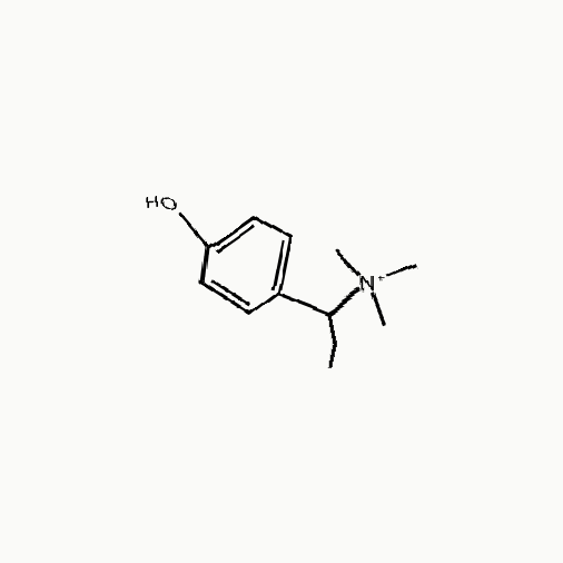 CC(c1ccc(O)cc1)[N+](C)(C)C